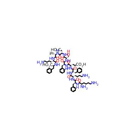 CC(C)[C@H](NC(=O)[C@H](CC(=O)O)NC(=O)[C@H](CO)NC(=O)[C@H](Cc1ccccc1)NC(=O)[C@H](CCC(=O)O)NC(=O)[C@H](Cc1ccccc1)NC(=O)[C@H](CCCCN)NC(=O)[C@H](Cc1ccccc1)NC(=O)[C@@H](N)CCCCN)C(=O)N[C@@H](CCCCN)C(=O)N[C@@H](Cc1ccccc1)C(=O)O